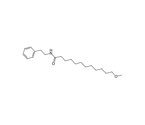 COCCCCCCCCCCCC(=O)NCCc1ccccc1